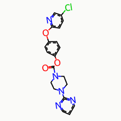 O=C(Oc1ccc(Oc2ccc(Cl)cn2)cc1)N1CCN(c2ncccn2)CC1